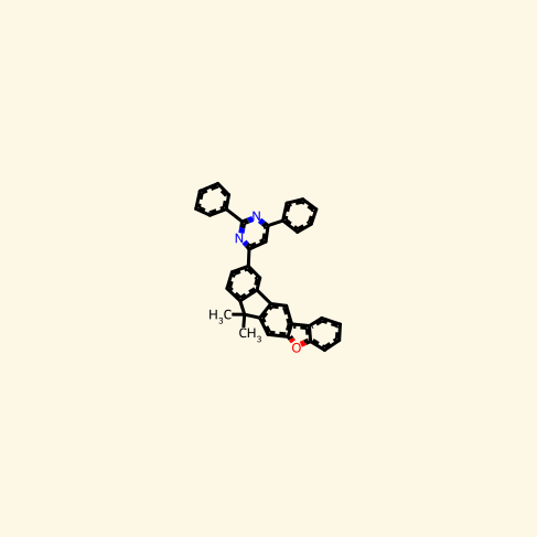 CC1(C)c2ccc(-c3cc(-c4ccccc4)nc(-c4ccccc4)n3)cc2-c2cc3c(cc21)oc1ccccc13